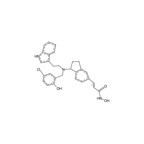 O=C(/C=C/c1ccc2c(c1)CCC2N(CCc1c[nH]c2ccccc12)Cc1cc(Cl)ccc1O)NO